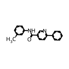 Cc1cccc(NC(=O)c2ccc(-c3ccccc3)nc2)c1